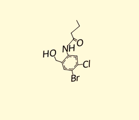 CCCC(=O)Nc1cc(Cl)c(Br)cc1CO